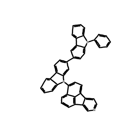 c1ccc(-n2c3ccccc3c3cc(-c4ccc5c6ccccc6n(-c6ccc7c8c(cccc68)-c6cnccc6-7)c5c4)ccc32)cc1